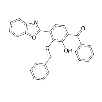 O=C(c1ccccc1)c1ccc(-c2nc3ccccc3o2)c(OCc2ccccc2)c1O